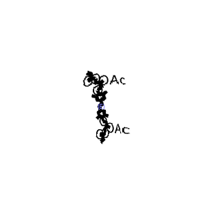 C=CC(=O)OCC(COc1c(C)cc(/C=C/c2cc(C)c(OCC(COC(=O)C=C)OC(C)=O)c(C)c2)cc1C)OC(C)=O